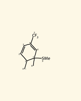 [CH2]C1C=CC(C(F)(F)F)=CC1(C)SC